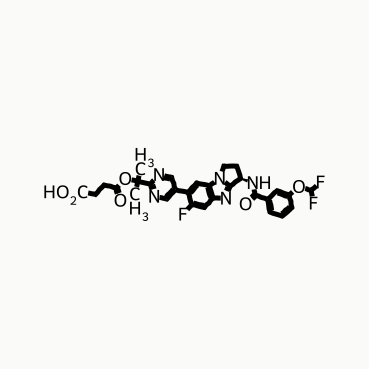 CC(C)(OC(=O)CCC(=O)O)c1ncc(-c2cc3c(cc2F)nc2n3CC[C@H]2NC(=O)c2cccc(OC(F)F)c2)cn1